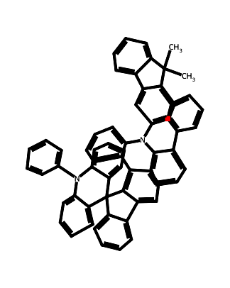 CC1(C)c2ccccc2-c2cc(N(c3ccccc3-c3ccccc3)c3ccccc3-c3cccc4c3C3(c5ccccc5-4)c4ccccc4N(c4ccccc4)c4ccccc43)ccc21